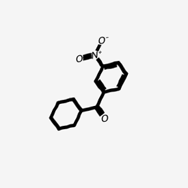 O=C(c1cccc([N+](=O)[O-])c1)C1CCCCC1